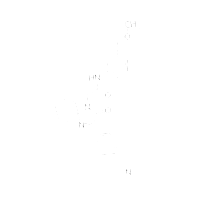 COCc1cccc(NC(=O)CN2C(=O)C(c3ccc(C#N)cc3)=NC23CCCCC3)c1